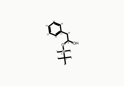 CC(C)(C)[Si](C)(C)OC(O)Cc1ccccc1